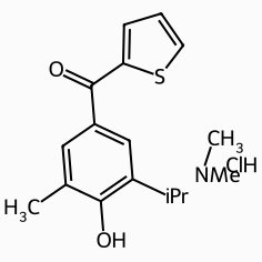 CNC.Cc1cc(C(=O)c2cccs2)cc(C(C)C)c1O.Cl